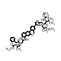 CCCN(Cc1nc2ccc3cc4c(cc3c2[nH]1)OCc1cc(-c2cnc(CN(C[C@H](C)COC)C(=O)[C@@H](NC(=O)OC)C(C)C)[nH]2)ccc1-4)C(=O)[C@H](NC(=O)OC)c1ccccc1